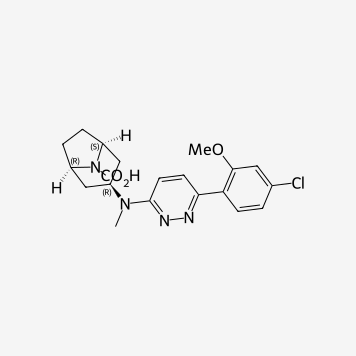 COc1cc(Cl)ccc1-c1ccc(N(C)[C@H]2C[C@H]3CC[C@@H](C2)N3C(=O)O)nn1